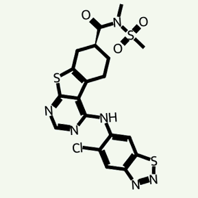 CN(C(=O)[C@H]1CCc2c(sc3ncnc(Nc4cc5snnc5cc4Cl)c23)C1)S(C)(=O)=O